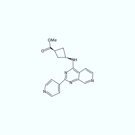 COC(=O)[C@H]1C[C@@H](Nc2nc(-c3ccncc3)nc3cnccc23)C1